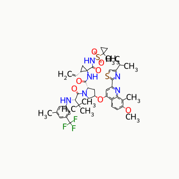 C=C[C@@H]1C[C@]1(NC(=O)[C@@H]1C[C@@H](Oc2cc(-c3nc(C(C)C)cs3)nc3c(C)c(OC)ccc23)CN1C(=O)[C@@H](Nc1cc(C)cc(C(F)(F)F)c1)C(C)(C)C)C(=O)NS(=O)(=O)C1(C)CC1